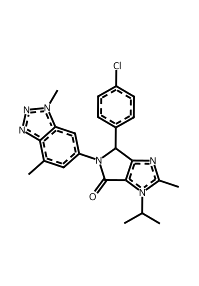 Cc1cc(N2C(=O)c3c(nc(C)n3C(C)C)C2c2ccc(Cl)cc2)cc2c1nnn2C